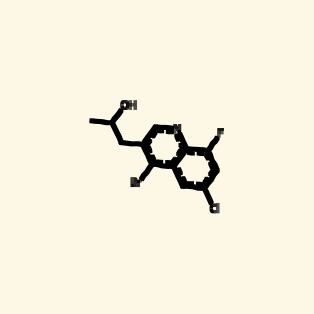 CC(O)Cc1cnc2c(F)cc(Cl)cc2c1Br